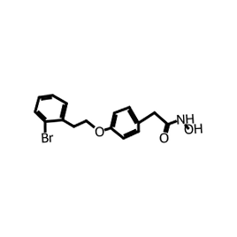 O=C(Cc1ccc(OCCc2ccccc2Br)cc1)NO